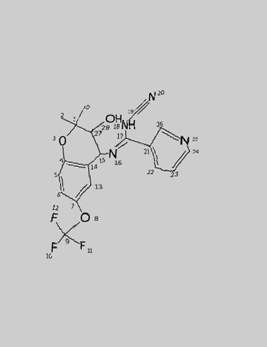 CC1(C)Oc2ccc(OC(F)(F)F)cc2C(N=C(NC#N)c2cccnc2)C1O